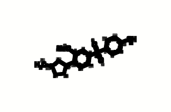 COc1cc(S(=O)(=O)c2ccc(O)cc2)ccc1C1CCN(C)C1